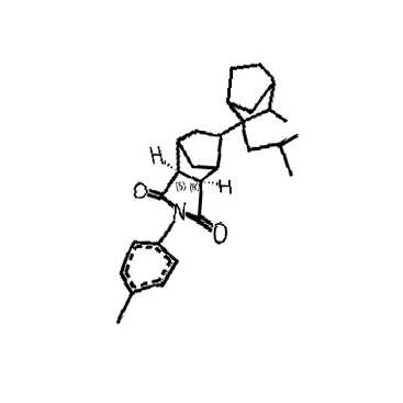 Cc1ccc(N2C(=O)[C@@H]3C4CC(CC4C4(CC(C)C)C5CCC(C5)C4C)[C@@H]3C2=O)cc1